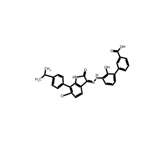 CC(C)c1ccc(-c2c(Cl)ccc3c2NC(=O)C3=NNc2cccc(-c3cccc(C(=O)O)c3)c2O)cc1